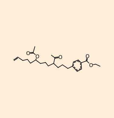 C=CCCCC(CCCC(CCCc1ccc(C(=O)OCC)cc1)C(C)=O)OC(C)=O